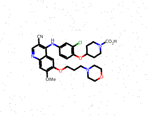 COc1cc2ncc(C#N)c(Nc3ccc(OC4CCN(C(=O)O)CC4)c(Cl)c3)c2cc1OCCCN1CCOCC1